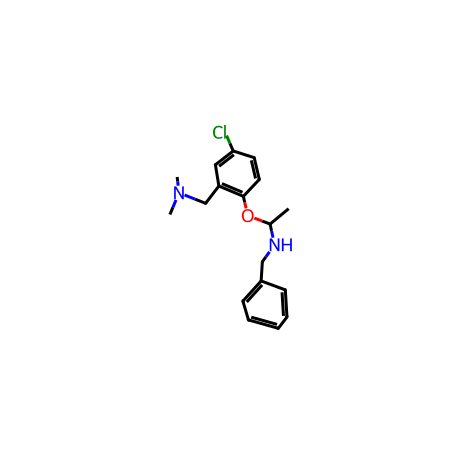 CC(NCc1ccccc1)Oc1ccc(Cl)cc1CN(C)C